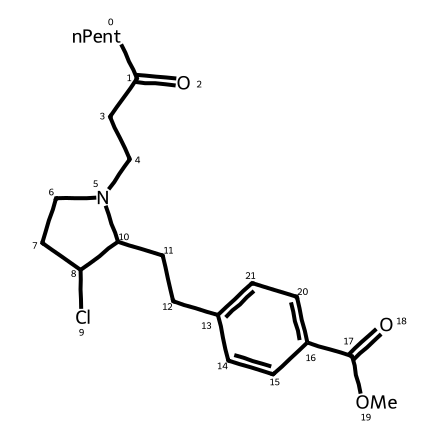 CCCCCC(=O)CCN1CCC(Cl)C1CCc1ccc(C(=O)OC)cc1